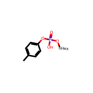 CCCCCCOP(=O)(O)Oc1ccc(C)cc1